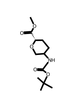 COC(=O)[C@@H]1CCC(NC(=O)OC(C)(C)C)CO1